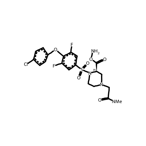 CNC(=O)CN1CCN(S(=O)(=O)c2cc(F)c(Oc3ccc(Cl)cc3)c(F)c2)[C@@H](C(=O)ON)C1